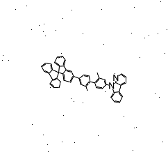 Cc1cc(-c2ccc3c(c2)-c2ccccc2C32C3=C(C=CCC3)c3ccccc32)ccc1-c1ccc(-n2c3ccccc3c3cccnc32)cc1C